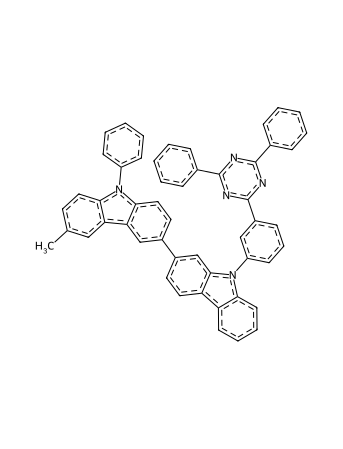 Cc1ccc2c(c1)c1cc(-c3ccc4c5ccccc5n(-c5cccc(-c6nc(-c7ccccc7)nc(-c7ccccc7)n6)c5)c4c3)ccc1n2-c1ccccc1